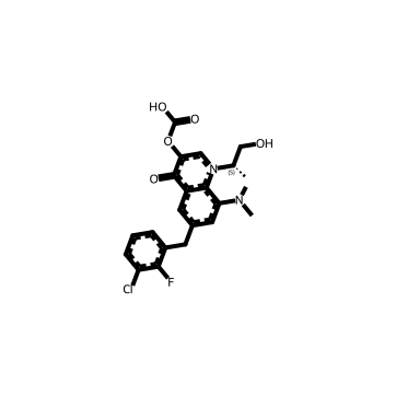 C[C@@H](CO)n1cc(OC(=O)O)c(=O)c2cc(Cc3cccc(Cl)c3F)cc(N(C)C)c21